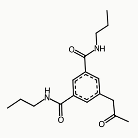 CCCNC(=O)c1cc(CC(C)=O)cc(C(=O)NCCC)c1